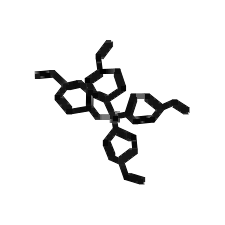 C=Cc1ccc(C[Si](c2ccc(C=C)cc2)(c2ccc(C=C)cc2)c2ccc(C=C)cc2)cc1